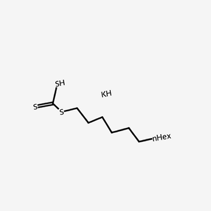 CCCCCCCCCCCCSC(=S)S.[KH]